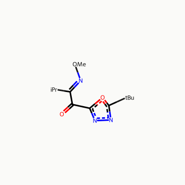 CON=C(C(=O)c1nnc(C(C)(C)C)o1)C(C)C